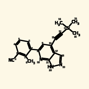 Cc1c(C#N)cccc1-c1cc(C#C[Si](C)(C)C)c2cn[nH]c2n1